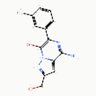 N#Cc1cccc(-c2nc(N)c3cc(CO)nn3c2Br)c1